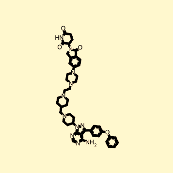 Nc1ncnc2c1c(-c1ccc(Oc3ccccc3)cc1)nn2C1CCN(CC2CCN(CCN3CCN(c4ccc5c(c4)CN(C4CCC(=O)NC4=O)C5=O)CC3)CC2)CC1